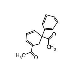 CC(=O)C1=CC=CC(C(C)=O)(c2ccccc2)C1